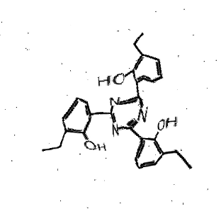 CCc1cccc(-c2nc(-c3cccc(CC)c3O)nc(-c3cccc(CC)c3O)n2)c1O